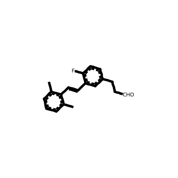 Cc1cccc(C)c1/C=C/c1cc(CCC=O)ccc1F